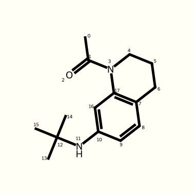 CC(=O)N1CCCc2ccc(NC(C)(C)C)cc21